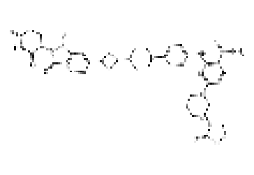 C=C1CCC(N2C(=O)c3ccc(N4CC(C5CCN(c6ccc(Nc7nc(N8CCC[C@H](N9CCOC9=O)C8)cnc7C(N)=O)cc6)CC5)C4)cc3C2=O)C(=O)N1